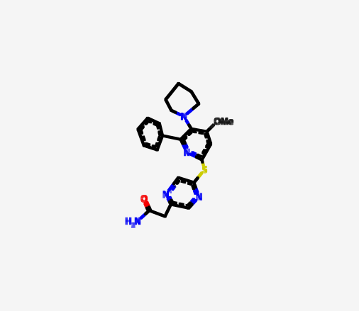 COc1cc(Sc2cnc(CC(N)=O)cn2)nc(-c2ccccc2)c1N1CCCCC1